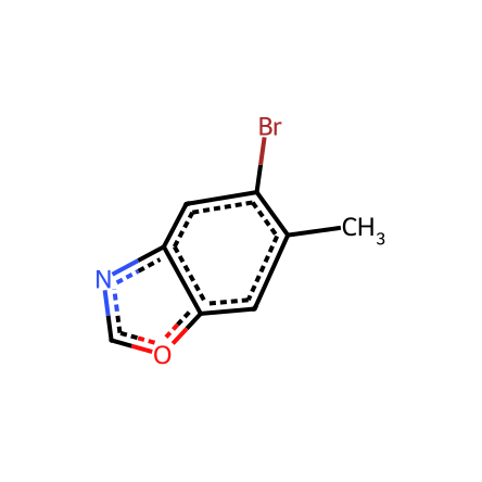 Cc1cc2ocnc2cc1Br